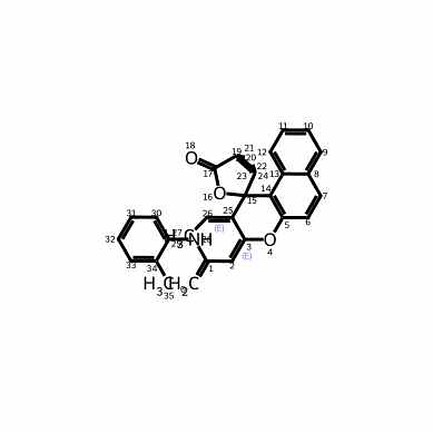 C=C(/C=C1/Oc2ccc3ccccc3c2C2(OC(=O)c3ccccc32)/C1=C/C)Nc1ccccc1C